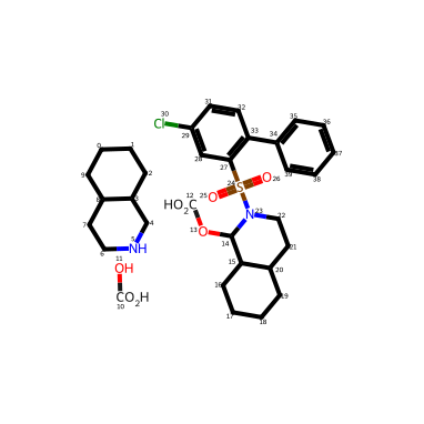 C1CCC2CNCCC2C1.O=C(O)O.O=C(O)OC1C2CCCCC2CCN1S(=O)(=O)c1cc(Cl)ccc1-c1ccccc1